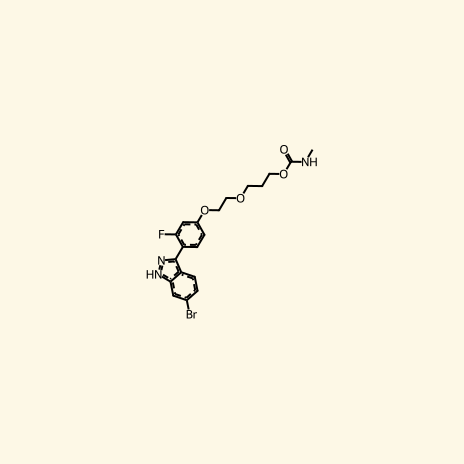 CNC(=O)OCCCOCCOc1ccc(-c2n[nH]c3cc(Br)ccc23)c(F)c1